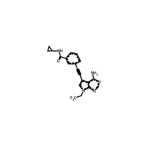 Nc1ncnc2c1c(C#Cc1cccc(C(=O)NC3CC3)c1)cn2CC(F)(F)F